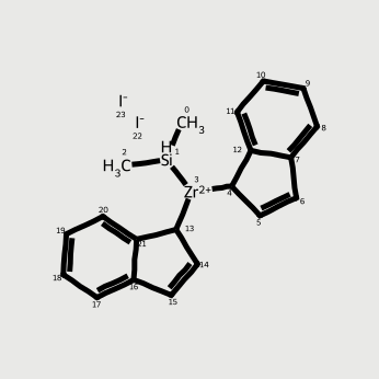 C[SiH](C)[Zr+2]([CH]1C=Cc2ccccc21)[CH]1C=Cc2ccccc21.[I-].[I-]